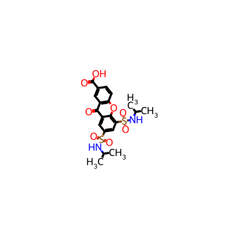 CC(C)NS(=O)(=O)c1cc(S(=O)(=O)NC(C)C)c2oc3ccc(C(=O)O)cc3c(=O)c2c1